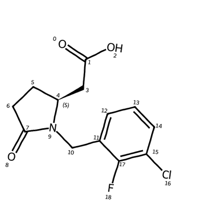 O=C(O)C[C@@H]1CCC(=O)N1Cc1cccc(Cl)c1F